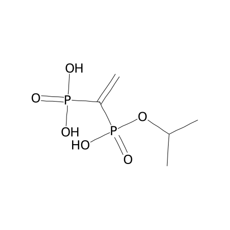 C=C(P(=O)(O)O)P(=O)(O)OC(C)C